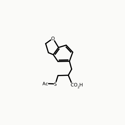 CC(=O)SCC(Cc1ccc2c(c1)CCO2)C(=O)O